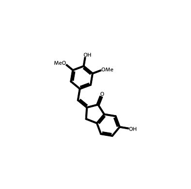 COc1cc(C=C2Cc3ccc(O)cc3C2=O)cc(OC)c1O